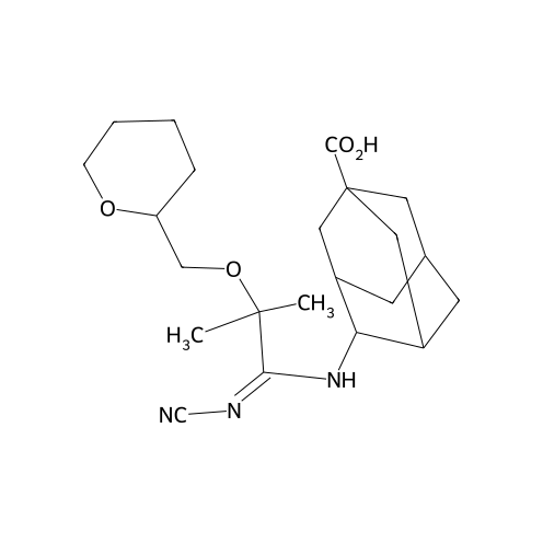 CC(C)(OCC1CCCCO1)/C(=N\C#N)NC1C2CC3CC1CC(C(=O)O)(C3)C2